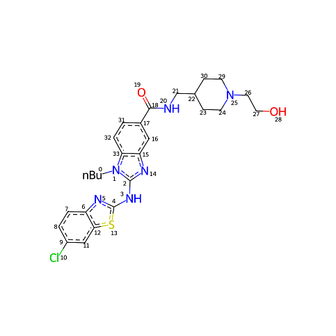 CCCCn1c(Nc2nc3ccc(Cl)cc3s2)nc2cc(C(=O)NCC3CCN(CCO)CC3)ccc21